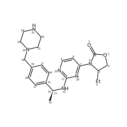 CCC1COC(=O)N1c1ccnc(N[C@@H](C)c2ccc(CN3CCNCC3)cc2)n1